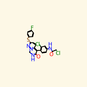 O=C(CCl)Nc1ccc(C2=C3C=CC(Sc4ccc(F)cc4)=NN3CNC2=O)c(Cl)c1